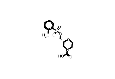 Cc1ccccc1S(=O)(=O)OC[C@H]1CN(C(=O)O)CCO1